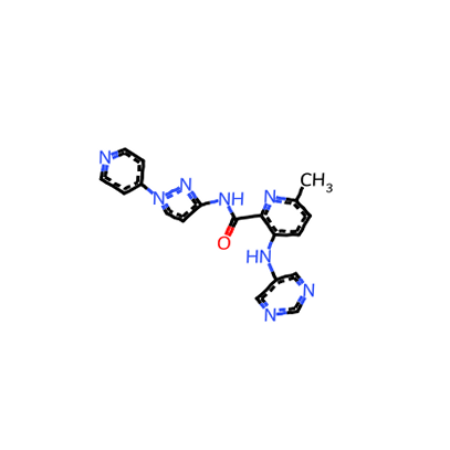 Cc1ccc(Nc2cncnc2)c(C(=O)Nc2ccn(-c3ccncc3)n2)n1